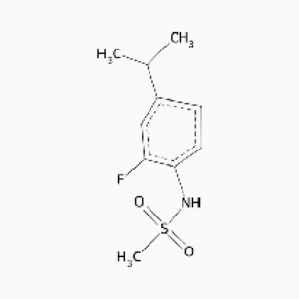 CC(C)c1ccc(NS(C)(=O)=O)c(F)c1